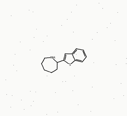 c1ccc2sc(C3CCCCCN3)cc2c1